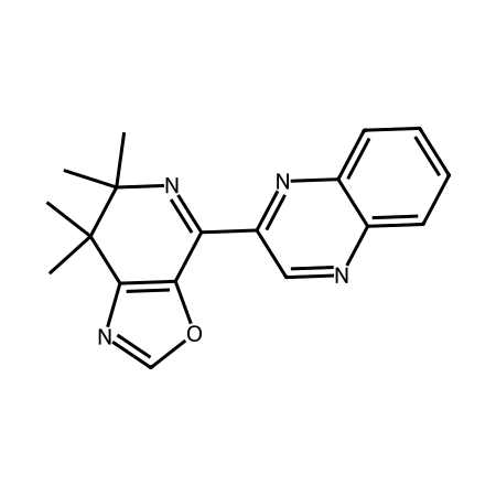 CC1(C)N=C(c2cnc3ccccc3n2)c2ocnc2C1(C)C